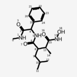 CNC(=O)C(NC(=O)C(CC(C)C)[C@H](C)C(=O)NO)c1ccccc1